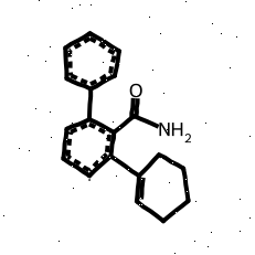 NC(=O)c1c(C2=CCCCC2)[c]ccc1-c1ccccc1